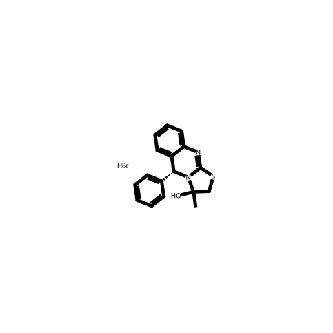 Br.CC1(O)CSC2=Nc3ccccc3[C@@H](c3ccccc3)N21